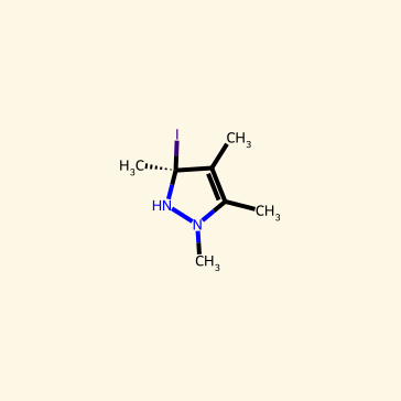 CC1=C(C)[C@](C)(I)NN1C